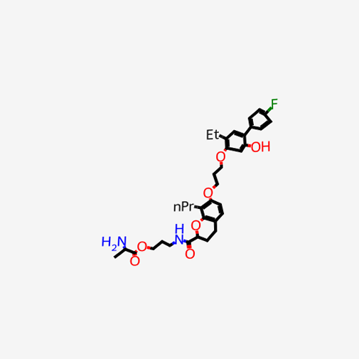 CCCc1c(OCCCOc2cc(O)c(-c3ccc(F)cc3)cc2CC)ccc2c1OC(C(=O)NCCCOC(=O)C(C)N)CC2